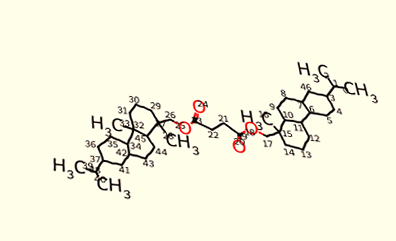 CC(C)C1CCC2C(CCC3C2CCCC3(C)COC(=O)CCC(=O)OCC2(C)CCCC3(C)C4CCC(C(C)C)CC4CCC23)C1